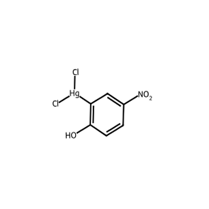 O=[N+]([O-])c1ccc(O)[c]([Hg]([Cl])[Cl])c1